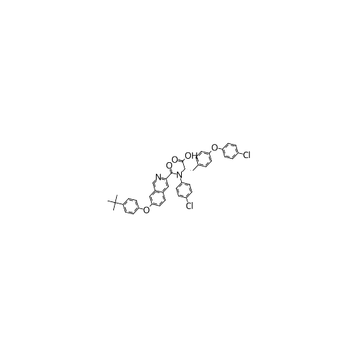 CC(C)(C)c1ccc(Oc2ccc3cc(C(=O)N(c4ccc(Cl)cc4)[C@@H](Cc4ccc(Oc5ccc(Cl)cc5)cc4)C(=O)O)ncc3c2)cc1